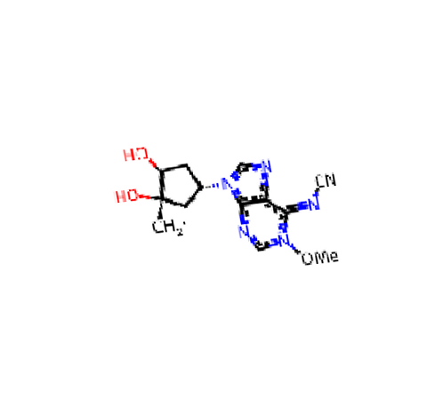 [CH2][C@]1(O)C[C@@H](n2cnc3/c(=N\C#N)n(OC)cnc32)C[C@@H]1O